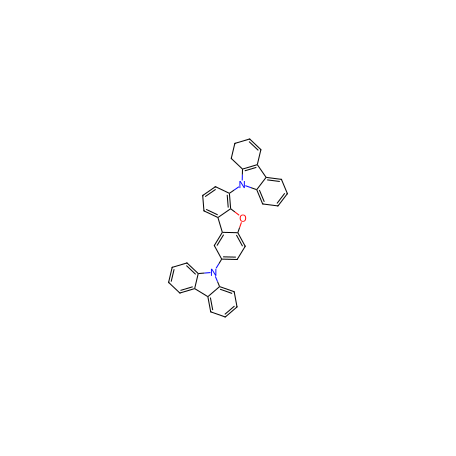 C1=Cc2c(n(-c3cccc4c3oc3ccc(-n5c6ccccc6c6ccccc65)cc34)c3ccccc23)CC1